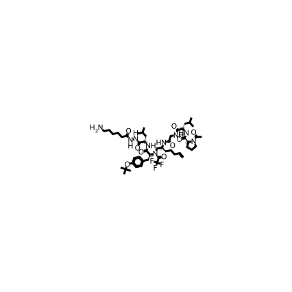 C=CCCC[C@@H](CN(C(=O)C(F)(F)F)[C@@H](Cc1ccc(OC(C)(C)C)cc1)C(=O)N[C@@H](CC(C)C)C(=O)NNC(=O)CCCCCN)NC(=O)CNC(=O)[C@H](CC(C)C)NC(=O)[C@@H]1CCCN1C(C)=O